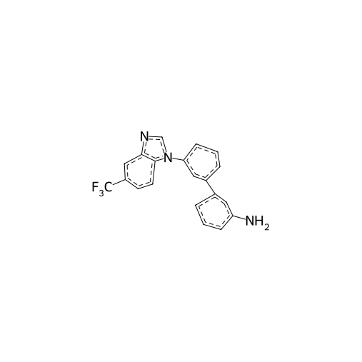 Nc1cccc(-c2cccc(-n3cnc4cc(C(F)(F)F)ccc43)c2)c1